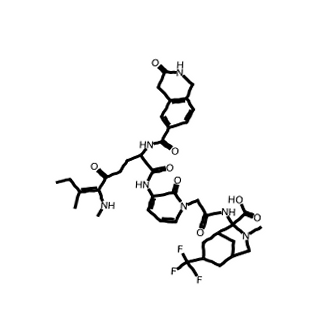 CC/C(C)=C(/NC)C(=O)CCC(NC(=O)c1ccc2c(c1)CC(=O)NC2)C(=O)Nc1cccn(CC(=O)NC2(C(=O)O)C3CC(CC(C(F)(F)F)C3)CN2C)c1=O